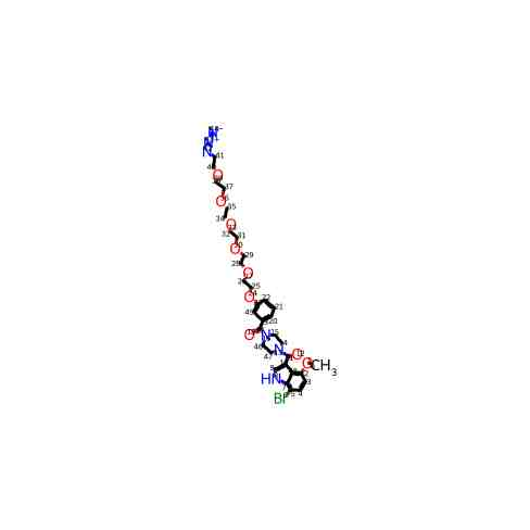 COc1ccc(Br)c2[nH]cc(C(=O)N3CCN(C(=O)c4cccc(OCCOCCOCCOCCOCCOCCN=[N+]=[N-])c4)CC3)c12